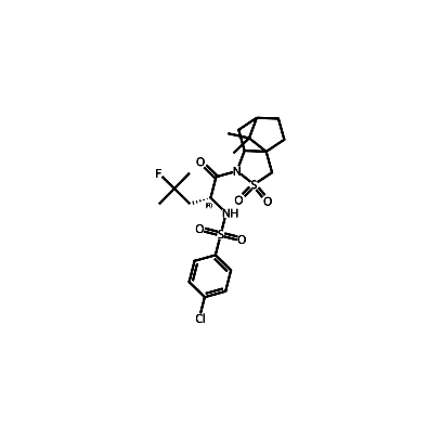 CC(C)(F)C[C@@H](NS(=O)(=O)c1ccc(Cl)cc1)C(=O)N1C2CC3CCC2(CS1(=O)=O)C3(C)C